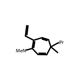 C=CC1=C(NC)C=CC(C)(C(C)C)C=C1